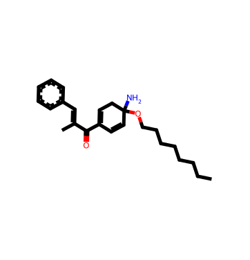 CCCCCCCCOC1(N)C=CC(C(=O)C(C)=Cc2ccccc2)=CC1